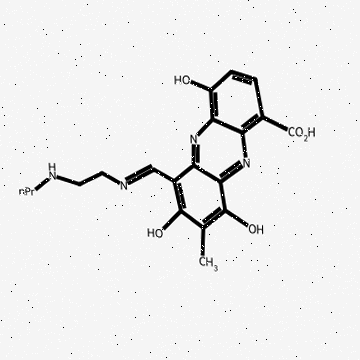 CCCNCCN=Cc1c(O)c(C)c(O)c2nc3c(C(=O)O)ccc(O)c3nc12